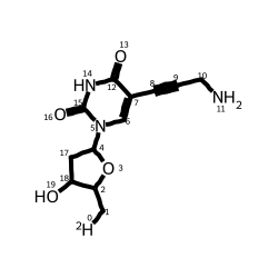 [2H]CC1OC(n2cc(C#CCN)c(=O)[nH]c2=O)CC1O